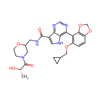 C[C@H](O)C(=O)N1CCOC(CNC(=O)c2c[nH]c3c(-c4c(OCC5CC5)ccc5c4OCO5)ncnc23)C1